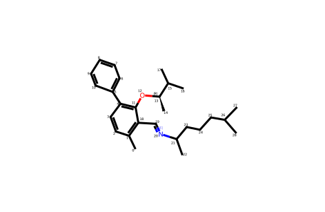 Cc1ccc(-c2ccccc2)c(O[C@H](C)C(C)C)c1/C=N/C(C)CCCC(C)C